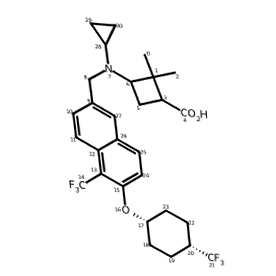 CC1(C)C(C(=O)O)CC1N(Cc1ccc2c(C(F)(F)F)c(O[C@H]3CC[C@@H](C(F)(F)F)CC3)ccc2c1)C1CC1